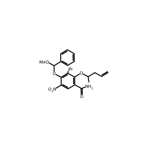 C=CCC(C)Oc1c(C(N)=O)cc([N+](=O)[O-])c(OC(OC)c2ccccc2)c1C(C)C